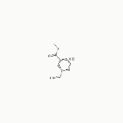 COC(=O)c1ccnc(C=N)c1.Cl